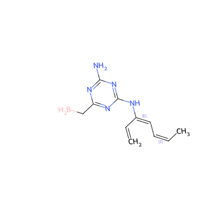 BCc1nc(N)nc(N/C(C=C)=C/C=C\C)n1